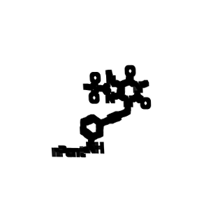 CCCCCNc1cccc(C#CCn2c(=O)n(C)c(=O)c3c2nc(S(C)(=O)=O)n3C)c1